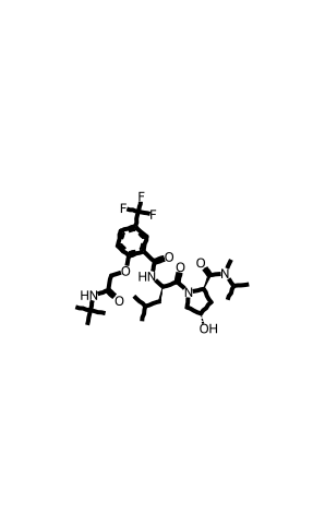 CC(C)C[C@@H](NC(=O)c1cc(C(F)(F)F)ccc1OCC(=O)NC(C)(C)C)C(=O)N1C[C@@H](O)C[C@@H]1C(=O)N(C)C(C)C